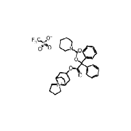 O=C(OC(C(=O)OC1CC2CCC(C1)[N+]21CCCC1)(c1ccccc1)c1ccccc1)N1CCCCC1.O=S(=O)([O-])C(F)(F)F